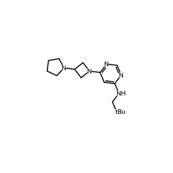 CC(C)(C)CNc1cc(N2CC(N3CCCC3)C2)ncn1